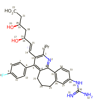 CC(C)c1nc2c(c(-c3ccc(F)cc3)c1/C=C/[C@@H](O)C[C@@H](O)CC(=O)O)CCCc1cc(NC(=N)N)ccc1-2